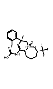 C[C@@]1(c2ccccc2F)C[SH]2(=O)N[C@H](C(F)(F)F)CCCN2C(NC(=O)O)=N1